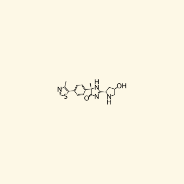 Cc1ncsc1-c1ccc([C@]2(C)NC([C@H]3C[C@@H](O)CN3)=NC2=O)cc1